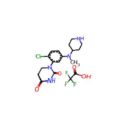 CN(c1ccc(Cl)c(N2CCC(=O)NC2=O)c1)C1CCNCC1.O=C(O)C(F)(F)F